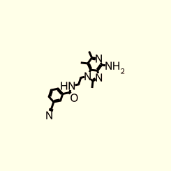 Cc1nc(N)c2nc(C)n(CCNC(=O)c3cccc(C#N)c3)c2c1C